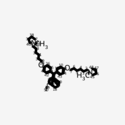 C[N+]1(CCCCCCOc2ccc(C(=C3C4CC5CC(C4)CC3C5)c3ccc(OCCCCCC[N+]4(C)CCCC4)cc3)cc2)CCCC1.[I-].[I-]